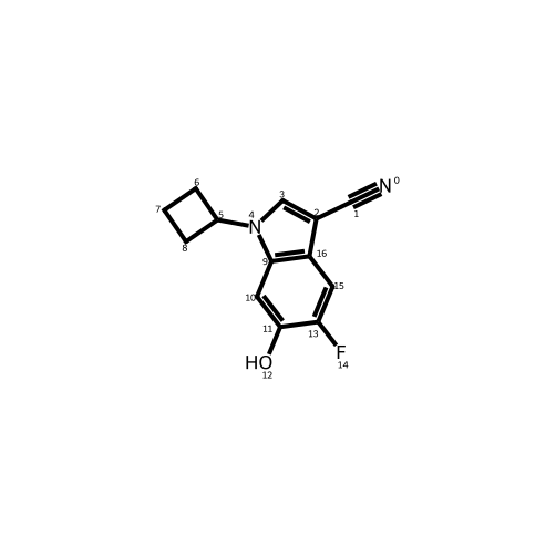 N#Cc1cn(C2CCC2)c2cc(O)c(F)cc12